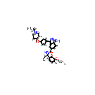 CCC(NC(=O)c1ccc2[nH]nc(-c3ccc(OC4CCN(C)CC4)cc3)c2c1)c1cccc(OC)c1